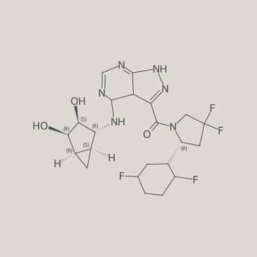 O=C(C1=NNC2=NC=NC(N[C@H]3[C@H](O)[C@H](O)[C@@H]4C[C@@H]43)C21)N1CC(F)(F)C[C@@H]1C1CC(F)CCC1F